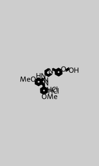 COc1ccc(-c2nnc(NC3CCN(Cc4cccc(OCCO)c4)CC3)c3cc(OC)ccc23)cc1.Cl.Cl